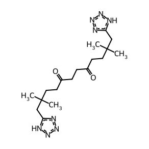 CC(C)(CCC(=O)CCC(=O)CCC(C)(C)Cc1nnn[nH]1)Cc1nnn[nH]1